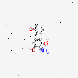 COc1cc(C=C2CCCCC2=O)cc(OC)c1N